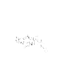 CNc1nc(N[C@H]2CCN(C3COC3)C[C@H]2F)nn2cc(F)c(-c3ccc4nccn4n3)c12